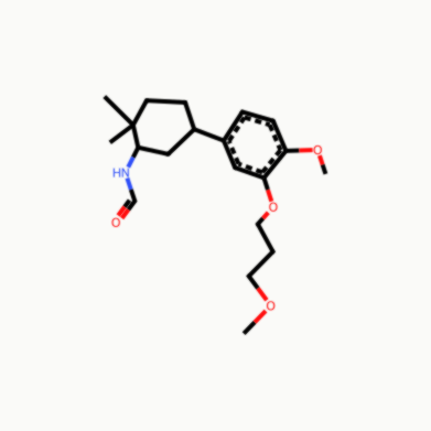 COCCCOc1cc(C2CCC(C)(C)C(NC=O)C2)ccc1OC